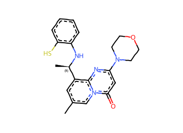 Cc1cc([C@@H](C)Nc2ccccc2S)c2nc(N3CCOCC3)cc(=O)n2c1